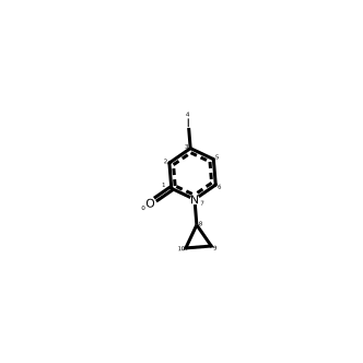 O=c1cc(I)ccn1C1CC1